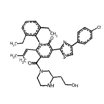 CCc1cccc(CC)c1-n1c(C=C(C)C)c(C(=O)N2CCNC(CCO)C2)cc(-c2nc(-c3ccc(Cl)cc3)cs2)c1=O